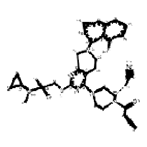 C=CC(=O)N1CCN(c2nc(OCC(C)(C)N(C)C3CC3)nc3c2CCN(c2cccc4cccc(F)c24)C3)C[C@@H]1CC#N